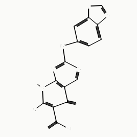 CCn1c(N)c(C(N)=O)c(=O)c2cnc(Nc3ccc4ncsc4c3)nc21